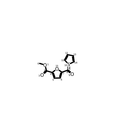 COC(=O)c1ccc(C(=O)[SH]2C=CC=C2)o1